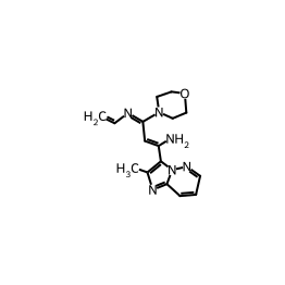 C=C/N=C(\C=C(/N)c1c(C)nc2cccnn12)N1CCOCC1